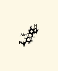 COc1cc(C)c2[nH]ccc2c1CN1CCC(C2CC2F)CC1